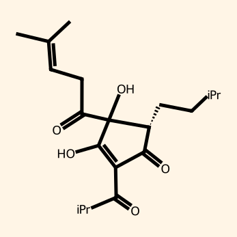 CC(C)=CCC(=O)C1(O)C(O)=C(C(=O)C(C)C)C(=O)[C@H]1CCC(C)C